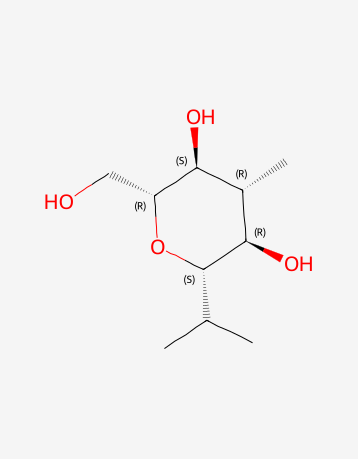 CC(C)[C@@H]1O[C@H](CO)[C@@H](O)[C@H](C)[C@H]1O